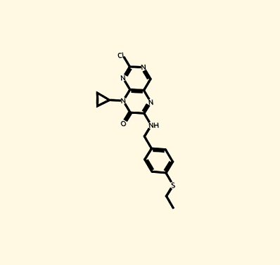 CCSc1ccc(CNc2nc3cnc(Cl)nc3n(C3CC3)c2=O)cc1